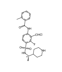 Cc1ccccc1C(=O)Nc1ccc(S(=O)(=O)N[C@H](C)C2CCNCC2)c(F)c1Cl.Cl